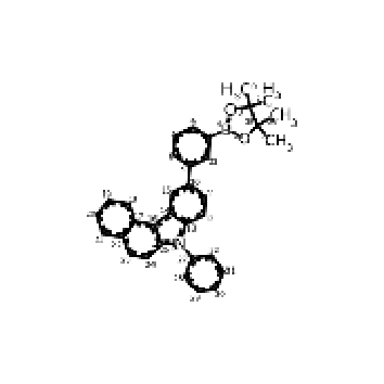 CC1(C)OB(c2cccc(-c3ccc4c(c3)c3c5ccccc5ccc3n4-c3ccccc3)c2)OC1(C)C